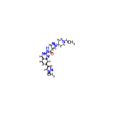 CCN1CCC(n2cc(C(=O)Nc3ncc4ccc(-c5cnn(C)c5)cc4n3)cn2)CC1